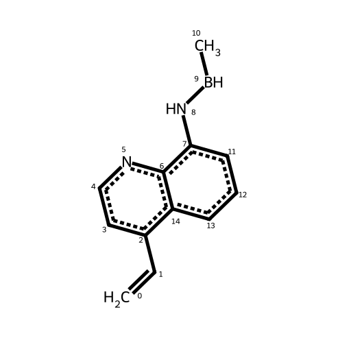 C=Cc1ccnc2c(NBC)cccc12